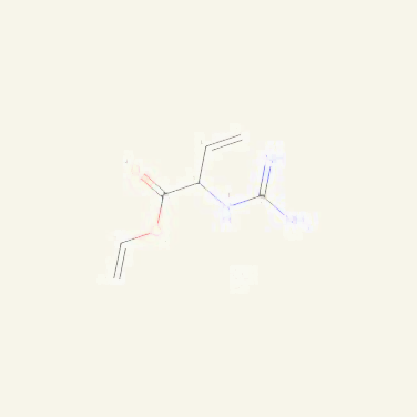 C=COC(=O)C(C=C)NC(=N)N.[Cu]